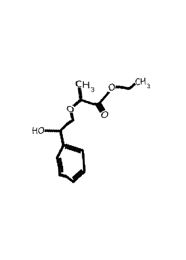 CCOC(=O)C(C)OCC(O)c1ccccc1